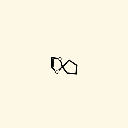 C1=COC2(CCCC2)O1